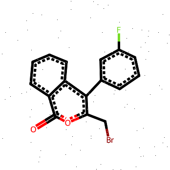 O=c1oc(CBr)c(-c2cccc(F)c2)c2ccccc12